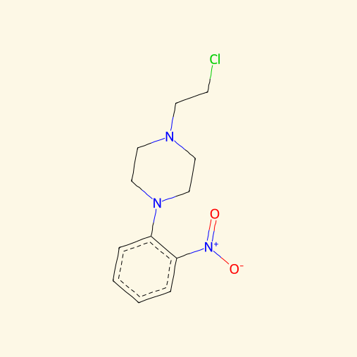 O=[N+]([O-])c1ccccc1N1CCN(CCCl)CC1